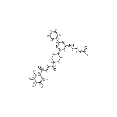 CC(=O)NCCNc1cc(N2CCN(C(=O)C=CC(=O)c3c(C)c(C)c(C)c(C)c3C)CC2)nc(-c2ccccc2)n1